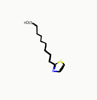 CCCCCCCCCCCCCCCCc1nccs1